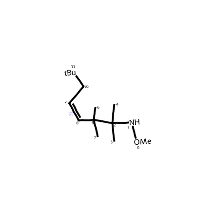 CONC(C)(C)C(C)(C)/C=C\CC(C)(C)C